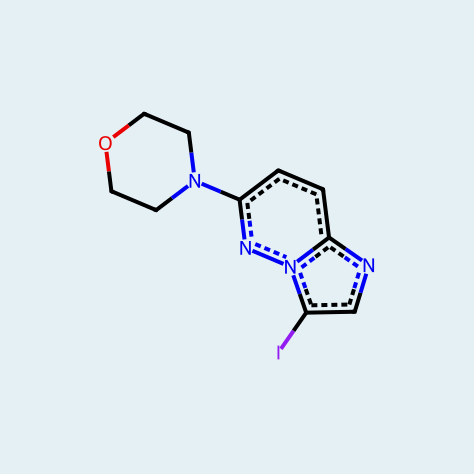 Ic1cnc2ccc(N3CCOCC3)nn12